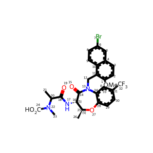 COc1ccc2cc(Br)ccc2c1CN1C(=O)[C@@H](NC(=O)C(C)N(C)C(=O)O)[C@H](C)Oc2ccc(C(F)(F)F)cc21